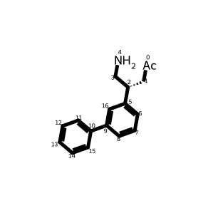 CC(=O)C[C@@H](CN)c1cccc(-c2ccccc2)c1